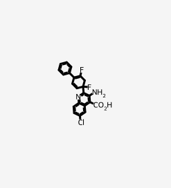 Nc1c(C2(F)C=CC(c3ccccc3)=C(F)C2)nc2ccc(Cl)cc2c1C(=O)O